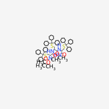 CNC(=O)C(CSC(c1ccccc1)(c1ccccc1)c1ccccc1)NC(=O)C(CSC(c1ccccc1)(c1ccccc1)c1ccccc1)NC(=O)C(CSC(c1ccccc1)(c1ccccc1)c1ccccc1)N(C)C(=O)OC(C)(C)C